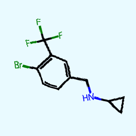 FC(F)(F)c1cc(CNC2CC2)ccc1Br